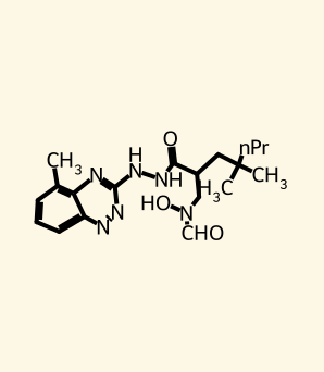 CCCC(C)(C)CC(CN(O)C=O)C(=O)NNc1nnc2cccc(C)c2n1